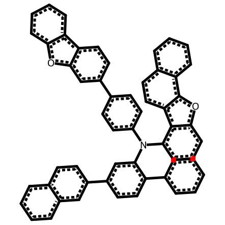 c1ccc(-c2ccc(-c3ccc4ccccc4c3)cc2N(c2ccc(-c3ccc4c(c3)oc3ccccc34)cc2)c2cccc3oc4c5ccccc5ccc4c23)cc1